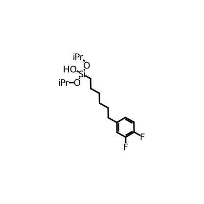 CC(C)O[Si](O)(CCCCCCc1ccc(F)c(F)c1)OC(C)C